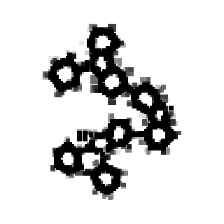 c1ccc(C2Nc3ccc(-c4cccc5oc6ccc(-c7ccc8c(c7)c7ccccc7n8-c7ccccc7)cc6c45)cc3N2c2ccccc2)cc1